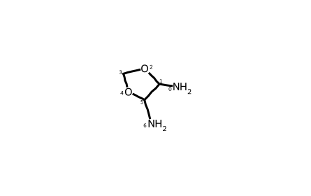 NC1OCOC1N